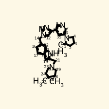 CC1CCCN1c1cncc(-c2cn(Cc3ccc4cc(CN5CCC(C)(C)CC5)[nH]c4c3)nn2)c1